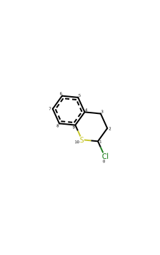 ClC1CCc2ccccc2S1